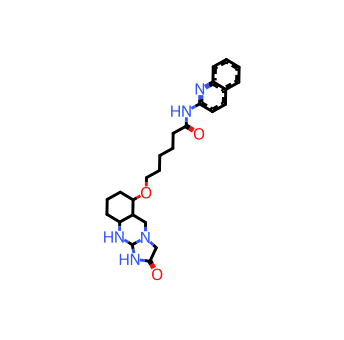 O=C(CCCCCOC1CCCC2NC3NC(=O)CN3CC21)Nc1ccc2ccccc2n1